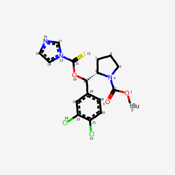 CC(C)(C)OC(=O)N1CCC[C@H]1C(OC(=S)n1ccnc1)c1ccc(Cl)c(Cl)c1